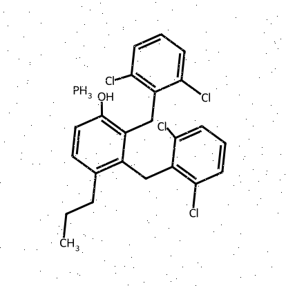 CCCc1ccc(O)c(Cc2c(Cl)cccc2Cl)c1Cc1c(Cl)cccc1Cl.P